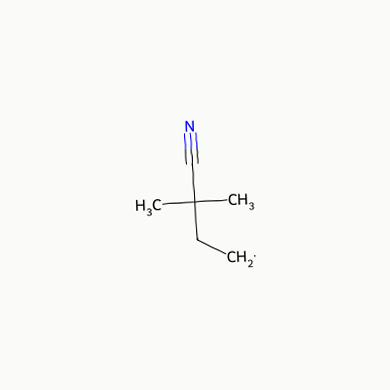 [CH2]CC(C)(C)C#N